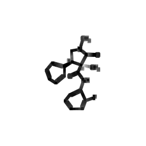 CN1C[C@H](c2ccccc2)[C@](C)(C(=O)Nc2ccccc2F)C1=O